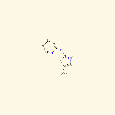 O=C(O)c1cnc(Nc2ccccn2)s1